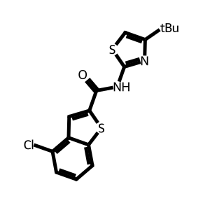 CC(C)(C)c1csc(NC(=O)c2cc3c(Cl)cccc3s2)n1